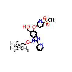 C[Si](C)(C)CCOCn1c(-c2ccccn2)nc2cc(Oc3ccc(S(C)(=O)=O)nc3)c(CO)cc21